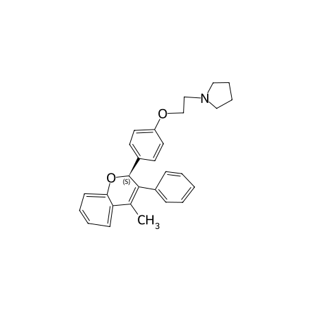 CC1=C(c2ccccc2)[C@H](c2ccc(OCCN3CCCC3)cc2)Oc2ccccc21